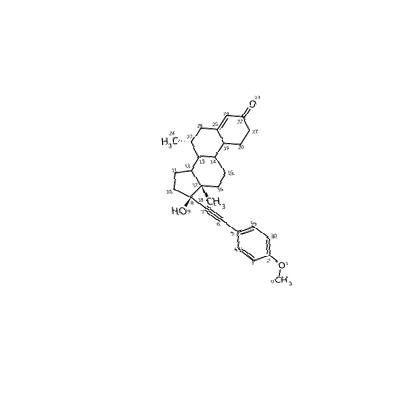 COc1ccc(C#C[C@]2(O)CCC3C4C(CC[C@@]32C)C2CCC(=O)C=C2C[C@H]4C)cc1